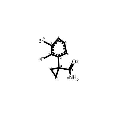 NC(=O)C1(c2cccc(Br)c2F)CC1